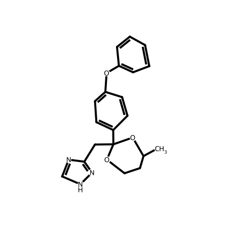 CC1CCOC(Cc2nc[nH]n2)(c2ccc(Oc3ccccc3)cc2)O1